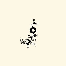 CCC(C)(NC(=O)Nc1ccc(OC(F)F)cc1)C(=O)O